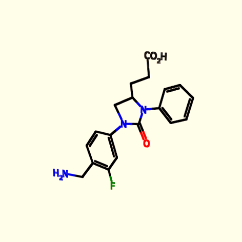 NCc1ccc(N2CC(CCC(=O)O)N(c3ccccc3)C2=O)cc1F